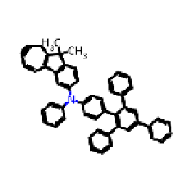 CC1(C)C2=C(C=CC#CC2)c2cc(N(c3ccccc3)c3ccc(-c4c(C5=CC=C=C=C5)cc(-c5ccccc5)cc4-c4ccccc4)cc3)ccc21